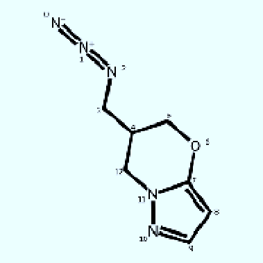 [N-]=[N+]=NCC1COc2ccnn2C1